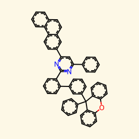 c1ccc(-c2cc(-c3ccc4c(ccc5ccccc54)c3)nc(-c3ccccc3-c3cccc(C4(c5ccccc5)c5ccccc5Oc5ccccc54)c3)n2)cc1